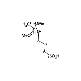 CO[PH](C)(OC)OCCCS(=O)(=O)O